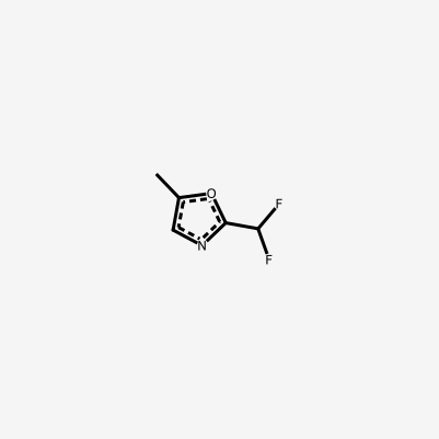 Cc1cnc(C(F)F)o1